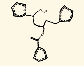 O=C(OC(CCc1ccccc1)CC(C(=O)O)c1ccccc1)c1ccccc1